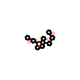 c1ccc(-c2c(-c3c4ccccc4c(-c4cccc5c4oc4c5ccc5oc6ccccc6c54)c4ccccc34)sc3cc4c(cc23)oc2ccccc24)cc1